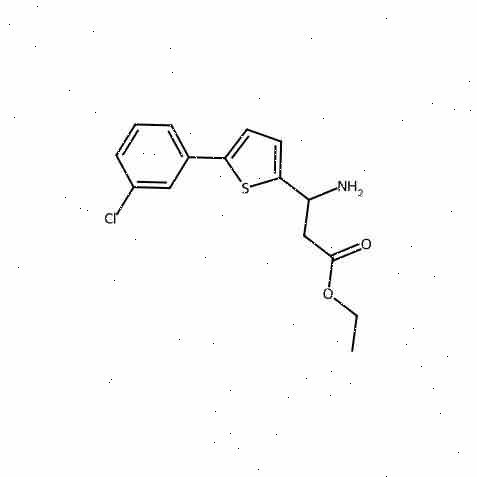 CCOC(=O)CC(N)c1ccc(-c2cccc(Cl)c2)s1